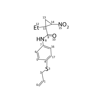 C=CCSc1ccc(NC(=O)C2(CC)CC2[N+](=O)[O-])cc1